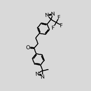 CC1(c2ccc(C(=O)CCc3ccc(C4(C(F)(F)F)N=N4)cc3)cc2)N=N1